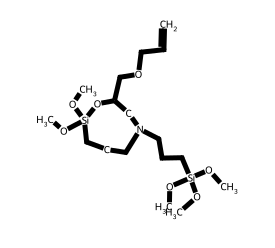 C=CCOCC1CN(CCC[Si](OC)(OC)OC)CCC[Si](OC)(OC)O1